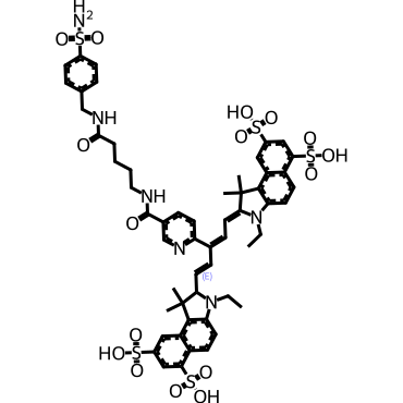 CCN1C(=CC=C(/C=C/C2N(CC)c3ccc4c(S(=O)(=O)O)cc(S(=O)(=O)O)cc4c3C2(C)C)c2ccc(C(=O)NCCCCC(=O)NCc3ccc(S(N)(=O)=O)cc3)cn2)C(C)(C)c2c1ccc1c(S(=O)(=O)O)cc(S(=O)(=O)O)cc21